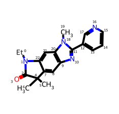 CCN1C(=O)C(C)(C)c2cc3nc(-c4cccnc4)n(C)c3cc21